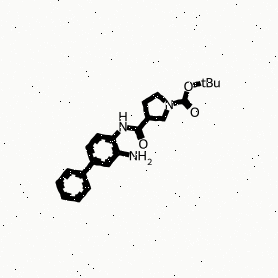 CC(C)(C)OC(=O)N1CCC(C(=O)Nc2ccc(-c3ccccc3)cc2N)C1